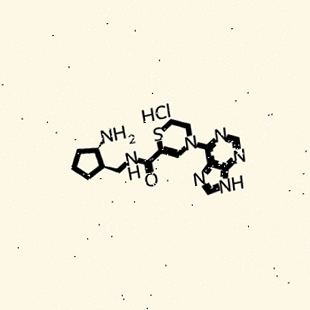 Cl.N[C@H]1CCC[C@@H]1CNC(=O)C1=CN(c2ncnc3[nH]cnc23)CCS1